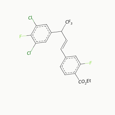 CCOC(=O)c1ccc(/C=C/C(c2cc(Cl)c(F)c(Cl)c2)C(F)(F)F)cc1F